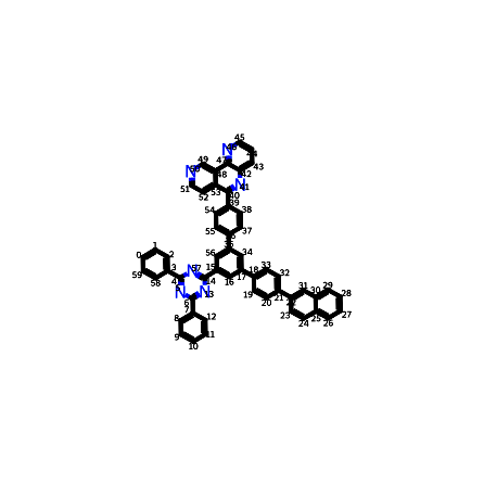 c1ccc(-c2nc(-c3ccccc3)nc(-c3cc(-c4ccc(-c5ccc6ccccc6c5)cc4)cc(-c4ccc(-c5nc6cccnc6c6cnccc56)cc4)c3)n2)cc1